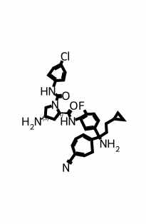 N#CC1=CCC(C(N)(CCC2CC2)c2ccc(F)c(NC(=O)[C@H]3C[C@H](N)CN3C(=O)Nc3ccc(Cl)cc3)c2)=CC=C1